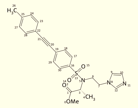 COC(=O)[C@@H](C)N(CCn1ccnc1)S(=O)(=O)c1ccc(C#Cc2ccc(C)cc2)cc1